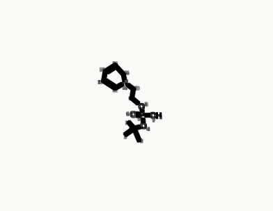 CC(C)(C)OP(=O)(O)OCCN1C=CC=CC1